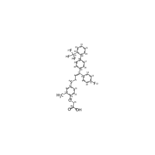 Cc1cc(SCC=C(c2ccc(F)cc2)c2ccc(-c3ccccc3C(F)(F)F)cc2)ccc1OCC(=O)O